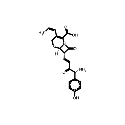 C/C=C\C1=C(C(=O)O)N2C(=O)[C@@H](/C=C/C(=O)[C@H](N)c3ccc(O)cc3)[C@H]2SC1